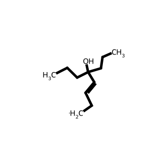 [CH2]C/C=C/C(O)(CCC)CCC